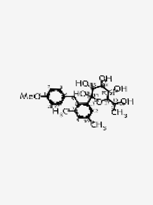 COc1ccc(Cc2c(C)cc(C)cc2[C@@]2(O)O[C@H]([C@H](C)O)[C@@H](O)[C@H](O)[C@H]2O)cc1